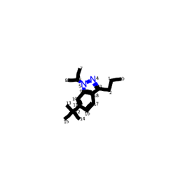 CCCc1nn(C(C)C)c2cc(C(C)(C)C)ccc12